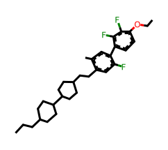 CCCC1CCC(C2CCC(CCc3cc(F)c(-c4ccc(OCC)c(F)c4F)cc3C)CC2)CC1